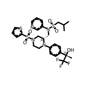 CC(C)CS(=O)(=O)N(C[C@H]1CN(S(=O)(=O)c2cccs2)CCN1c1ccc([C@](C)(O)C(F)(F)F)cc1)c1cccnc1